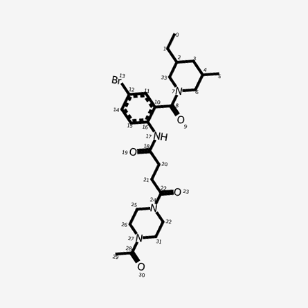 CCC1CC(C)CN(C(=O)c2cc(Br)ccc2NC(=O)CCC(=O)N2CCN(C(C)=O)CC2)C1